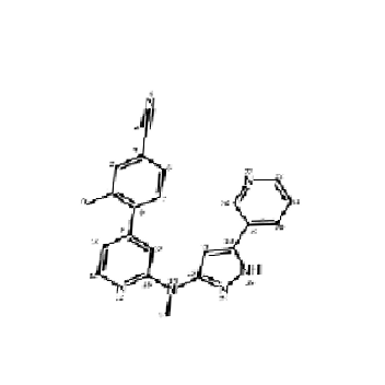 Cc1cc(C#N)ccc1-c1ccnc(N(C)c2cc(-c3cccnc3)[nH]n2)c1